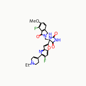 CCN1CC=C(c2nc3cc([C@]4(CN5Cc6ccc(OC)c(F)c6C5=O)NC(=O)NC4=O)oc3cc2F)CC1